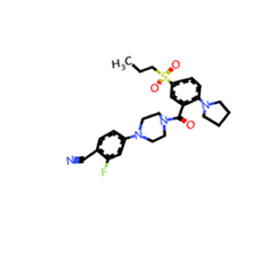 CCCS(=O)(=O)c1ccc(N2CCCC2)c(C(=O)N2CCN(c3ccc(C#N)c(F)c3)CC2)c1